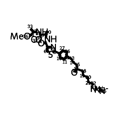 C=C(NC(=O)c1csc(-c2ccc(CCCC(=O)CCCCCN=[N+]=[N-])cc2)n1)C(=O)NC(=C)C(=O)OC